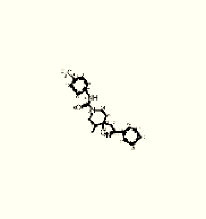 CC1CN(C(=O)Nc2ccc(C(F)(F)F)cc2)CCC12CC(c1ccccc1)=NO2